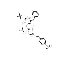 CC(C)C[C@H](NC(=O)C(Cc1ccccc1)NC(=O)OC(C)(C)C)C(=O)N[C@@H](C)C(=O)NCc1ccc([N+](=O)[O-])cc1